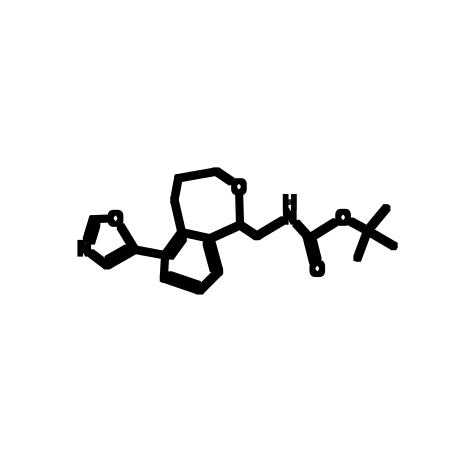 CC(C)(C)OC(=O)NCC1OCCCc2c(-c3cnco3)cccc21